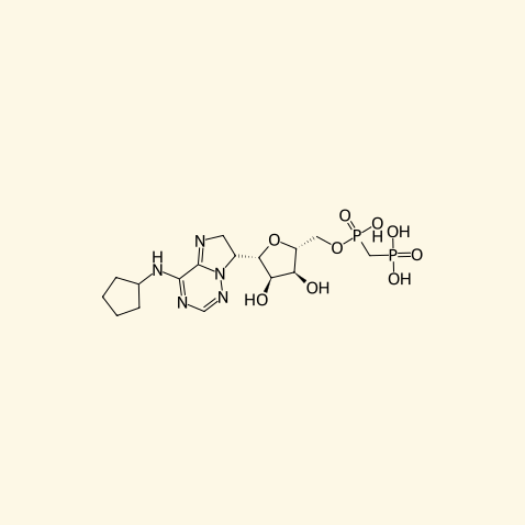 O=P(O)(O)CP(=O)(O)OC[C@H]1O[C@@H](C2CN=C3C(NC4CCCC4)=NC=NN32)[C@H](O)[C@@H]1O